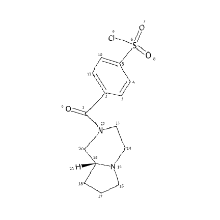 O=C(c1ccc(S(=O)(=O)Cl)cc1)N1CCN2CCC[C@@H]2C1